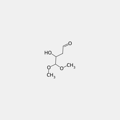 COC(OC)C(O)CC=O